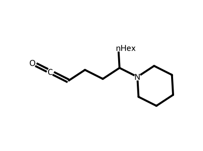 CCCCCCC(CCC=C=O)N1CCCCC1